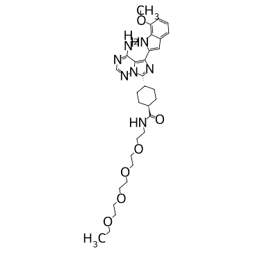 CCOCCOCCOCCOCCNC(=O)[C@H]1CC[C@H](c2nc(-c3cc4cccc(OC)c4[nH]3)c3c(N)ncnn32)CC1